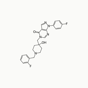 O=c1c2cnn(-c3ccc(F)cc3)c2ncn1CC1(O)CCN(Cc2ccccc2F)CC1